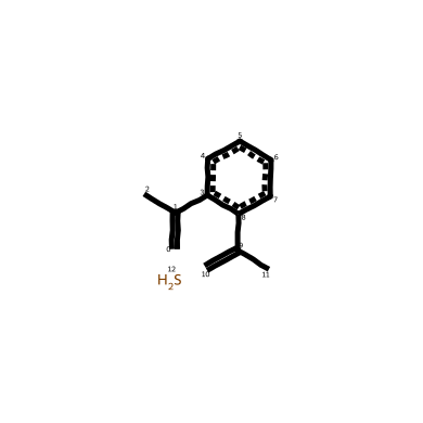 C=C(C)c1ccccc1C(=C)C.S